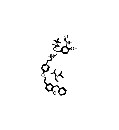 CC(C)N(CC[C@H](c1ccccc1)c1cc(CCOc2ccc(CCNC[C@H](O[Si](C)(C)C(C)(C)C)c3ccc(O)c(NC=O)c3)cc2)ccc1O)C(C)C